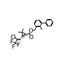 Cc1c(COC(=O)[C@H]2[C@H](/C=C(\Cl)C(F)(F)F)C2(C)C)cccc1-c1ccccc1